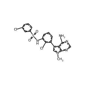 Cn1cc(-c2cccc(NS(=O)(=O)c3cccc(Cl)c3)c2Cl)c2c(N)ncnc21